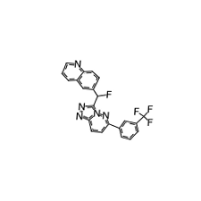 FC(c1ccc2ncccc2c1)c1nnc2ccc(-c3cccc(C(F)(F)F)c3)nn12